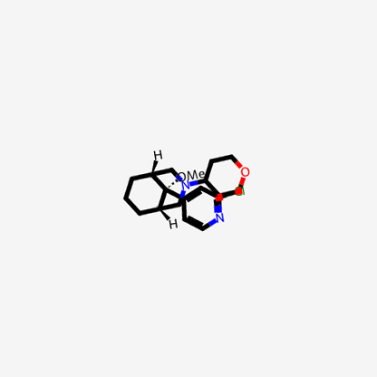 CO[C@@]1(c2ccnc(Cl)c2)[C@@H]2CCC[C@H]1CN(C1CCOCC1)C2